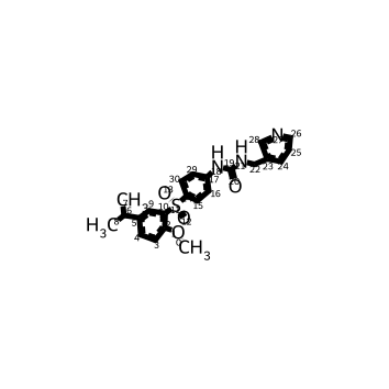 COc1ccc(C(C)C)cc1S(=O)(=O)c1ccc(NC(=O)NCc2cccnc2)cc1